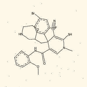 COc1ccccc1NC(=O)C1=CN(C)C(S)=C(C#N)C1(CC1CNCCO1)c1ccc(Br)cc1F